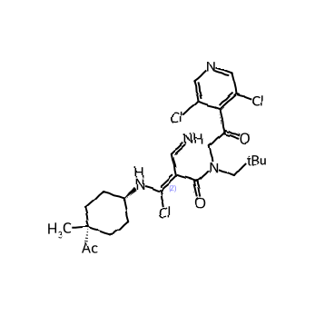 CC(=O)[C@]1(C)CC[C@@H](N/C(Cl)=C(\C=N)C(=O)N(CC(=O)c2c(Cl)cncc2Cl)CC(C)(C)C)CC1